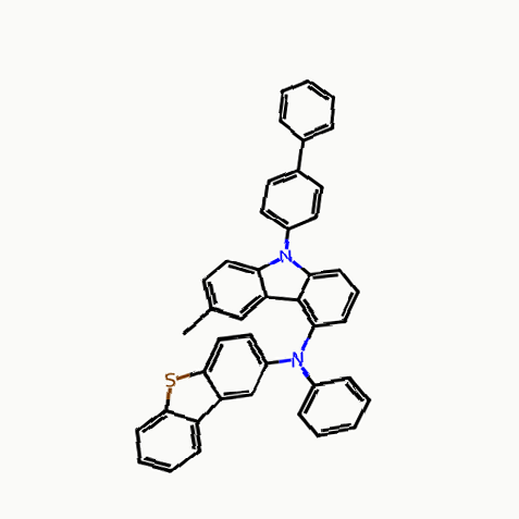 Cc1ccc2c(c1)c1c(N(c3ccccc3)c3ccc4sc5ccccc5c4c3)cccc1n2-c1ccc(-c2ccccc2)cc1